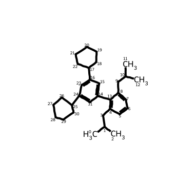 CC(C)Cc1cccc(CC(C)C)c1-c1cc(C2CCCCC2)[c]c(C2CCCCC2)c1